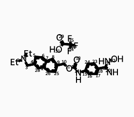 CCN(CC)Cc1ccc2cc(COC(=O)Nc3ccc(C(=N)NO)cc3)ccc2c1.O=C(O)C(F)(F)F